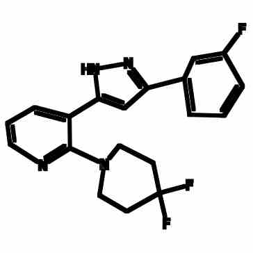 Fc1cccc(-c2cc(-c3cccnc3N3CCC(F)(F)CC3)[nH]n2)c1